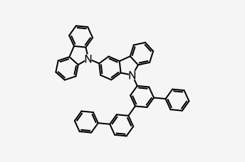 c1ccc(-c2cccc(-c3cc(-c4ccccc4)cc(-n4c5ccccc5c5cc(-n6c7ccccc7c7ccccc76)ccc54)c3)c2)cc1